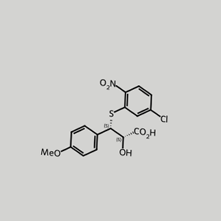 COc1ccc([C@H](Sc2cc(Cl)ccc2[N+](=O)[O-])[C@@H](O)C(=O)O)cc1